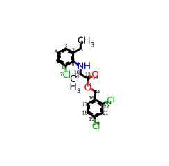 CCc1cccc(Cl)c1N[C@@H](C)C(=O)OCc1ccc(Cl)cc1Cl